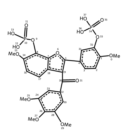 COc1ccc(-c2oc3c(OP(=O)(O)O)c(OC)ccc3c2C(=O)c2cc(OC)c(OC)c(OC)c2)cc1OP(=O)(O)O